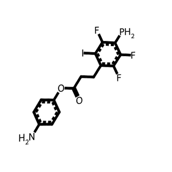 Nc1ccc(OC(=O)CCc2c(F)c(F)c(P)c(F)c2I)cc1